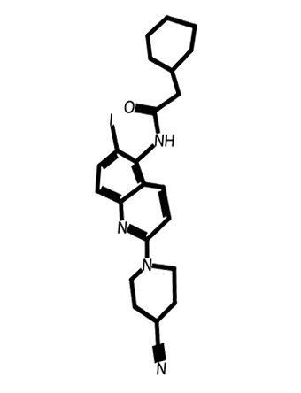 N#CC1CCN(c2ccc3c(NC(=O)CC4CCCCC4)c(I)ccc3n2)CC1